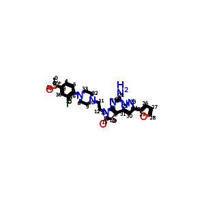 C[S@+]([O-])c1ccc(N2CCN(CCn3c(=O)sc4c3nc(N)n3nc(-c5ccco5)cc43)CC2)c(F)c1